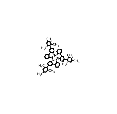 Cc1cc(C)c(-c2ccc3c(c2)-c2ccccc2B2N3B3c4ccccc4-c4cc(-c5c(C)cc(C)cc5C)ccc4N3B3c4ccccc4-c4cc(-c5c(C)cc(C)cc5C)ccc4N23)c(C)c1